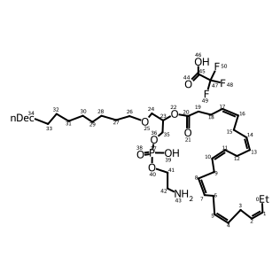 CC/C=C\C/C=C\C/C=C\C/C=C\C/C=C\C/C=C\CCC(=O)OC(COCCCCCCCCCCCCCCCCCC)COP(=O)(O)OCCN.O=C(O)C(F)(F)F